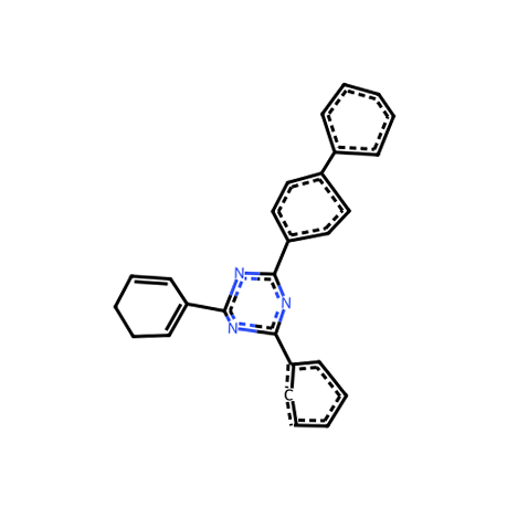 C1=CC(c2nc(-c3ccccc3)nc(-c3ccc(-c4ccccc4)cc3)n2)=CCC1